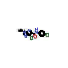 CCCCn1cnc2c(Cl)c(C(=O)Nc3ccc(Cl)cc3)cnc21